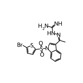 C/C(=N/NC(=N)N)c1cn(S(=O)(=O)c2ccc(Br)s2)c2ccccc12